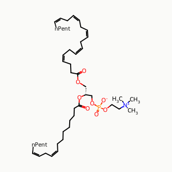 CCCCC/C=C\C/C=C\C/C=C\C/C=C\C/C=C\CCC(=O)OC[C@H](COP(=O)([O-])OCC[N+](C)(C)C)OC(=O)CCCCCCC/C=C\C/C=C\CCCCC